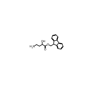 NCCC(O)C(=O)OCC1c2ccccc2-c2ccccc21